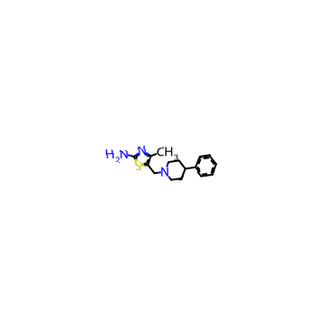 Cc1nc(N)sc1CN1CCC(c2ccccc2)CC1